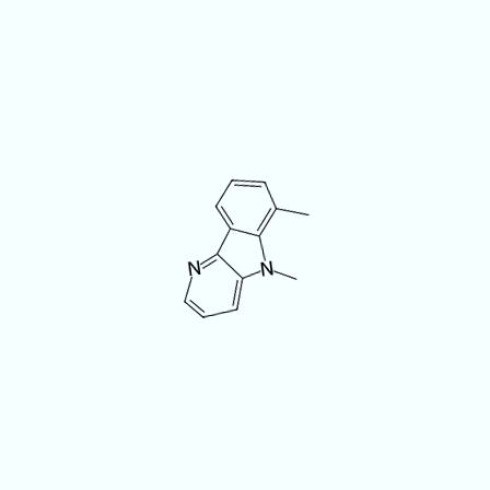 Cc1cccc2c3ncccc3n(C)c12